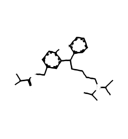 CC(C)C(=O)OCc1ccc(O)c(C(CCCCN(C(C)C)C(C)C)c2ccccc2)c1